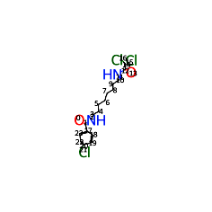 O=C(NCCCCCCCCNC(=O)C(Cl)Cl)c1ccc(Cl)cc1